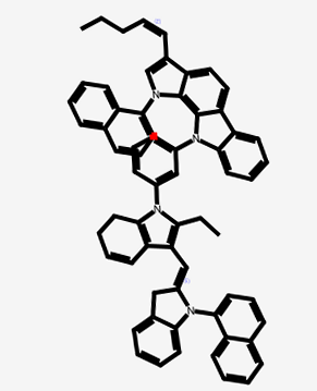 CCC/C=C\c1cn(-c2cccc3ccccc23)c2c1ccc1c3ccccc3n(-c3cccc(-n4c5c(c(/C=C6\Cc7ccccc7N6c6cccc7ccccc67)c4CC)C=CCC5)c3)c12